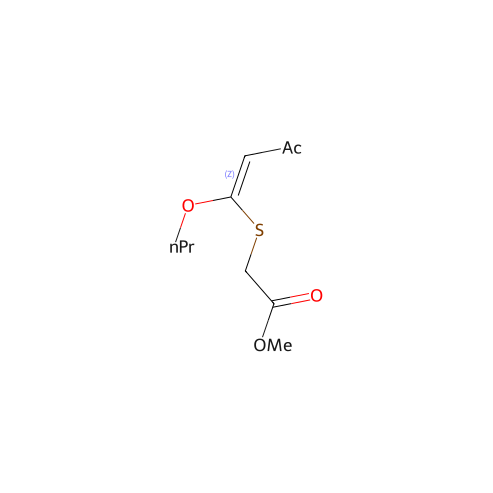 CCCO/C(=C/C(C)=O)SCC(=O)OC